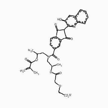 C=C(C)C(=O)OC(C)CN(CC(C)OC(=O)COCC(=O)O)C(=O)c1ccc2c(c1)C(=O)C(c1nc3ccccc3cc1O)C2=O